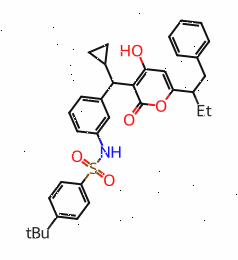 CCC(Cc1ccccc1)c1cc(O)c(C(c2cccc(NS(=O)(=O)c3ccc(C(C)(C)C)cc3)c2)C2CC2)c(=O)o1